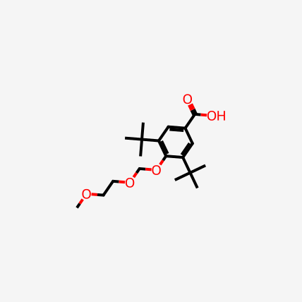 COCCOCOc1c(C(C)(C)C)cc(C(=O)O)cc1C(C)(C)C